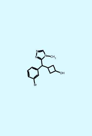 Cn1cnnc1C(c1cccc(Br)c1)C1CC(O)C1